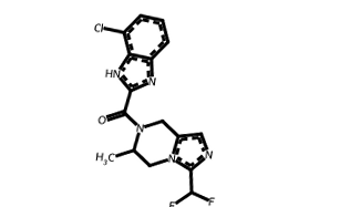 CC1Cn2c(cnc2C(F)F)CN1C(=O)c1nc2cccc(Cl)c2[nH]1